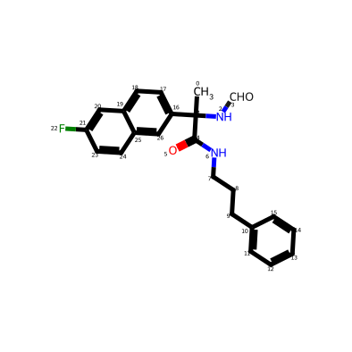 CC(NC=O)(C(=O)NCCCc1ccccc1)c1ccc2cc(F)ccc2c1